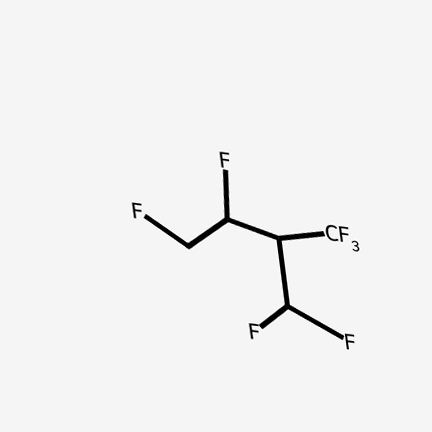 FCC(F)C(C(F)F)C(F)(F)F